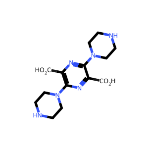 O=C(O)c1nc(N2CCNCC2)c(C(=O)O)nc1N1CCNCC1